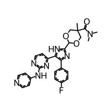 CN(C)C(=O)C1(C)COC(c2nc(-c3ccc(F)cc3)c(-c3ccnc(Nc4ccncc4)n3)[nH]2)OC1